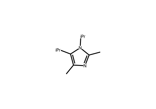 Cc1nc(C)n(C(C)C)c1C(C)C